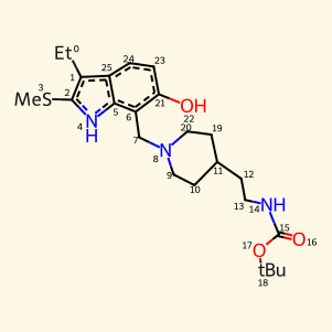 CCc1c(SC)[nH]c2c(CN3CCC(CCNC(=O)OC(C)(C)C)CC3)c(O)ccc12